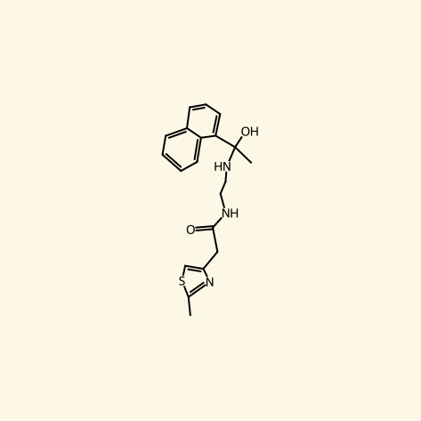 Cc1nc(CC(=O)NCCNC(C)(O)c2cccc3ccccc23)cs1